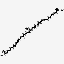 COC(=O)CCCCCCCC#CCCCCCCCCC(O)CCCCCCCCC#CCCCCCCCC(=O)OC